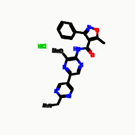 CNCc1ncc(-c2cnc(NC(=O)c3c(-c4ccccc4)noc3C)c(OC)n2)cn1.Cl